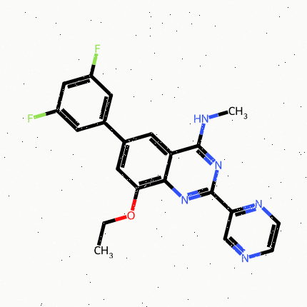 CCOc1cc(-c2cc(F)cc(F)c2)cc2c(NC)nc(-c3cnccn3)nc12